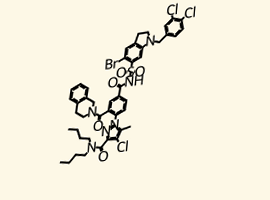 CCCCN(CCCC)C(=O)c1nn(-c2ccc(C(=O)NS(=O)(=O)c3cc4c(cc3Br)CCN4Cc3ccc(Cl)c(Cl)c3)cc2C(=O)N2CCc3ccccc3C2)c(C)c1Cl